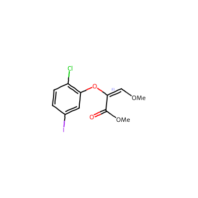 CO/C=C(/Oc1cc(I)ccc1Cl)C(=O)OC